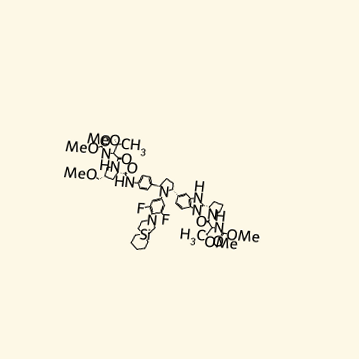 COC[C@H]1C[C@@H](C(=O)Nc2ccc([C@H]3CC[C@H](c4ccc5nc([C@@H]6CCCN6C(=O)[C@@H](NC(=O)OC)[C@@H](C)OC)[nH]c5c4)N3c3cc(F)c(N4CC[Si]5(CCCCC5)CC4)c(F)c3)cc2)N(C(=O)[C@@H](NC(=O)OC)[C@@H](C)OC)C1